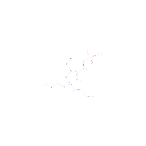 CCCC[N+](CCCC)(CCCC)CCCCS(=O)(=O)O